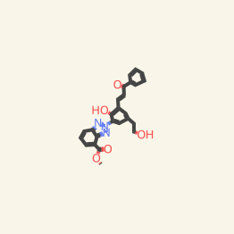 COC(=O)c1cccc2nn(-c3cc(CCO)cc(C=CC(=O)c4ccccc4)c3O)nc12